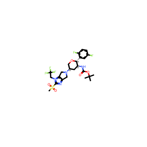 CC(C)(C)OC(=O)N[C@H]1C[C@@H](N2Cc3nc(S(C)(=O)=O)n(CC(F)(F)F)c3C2)CO[C@@H]1c1cc(F)ccc1F